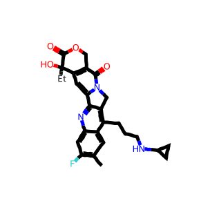 CCC1(O)C(=O)OCc2c1cc1n(c2=O)Cc2c-1nc1cc(F)c(C)cc1c2CCCNC1CC1